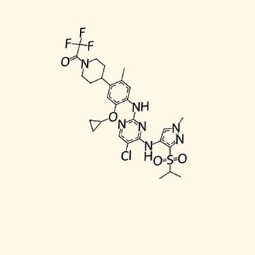 Cc1cc(Nc2ncc(Cl)c(Nc3cn(C)nc3S(=O)(=O)C(C)C)n2)c(OC2CC2)cc1C1CCN(C(=O)C(F)(F)F)CC1